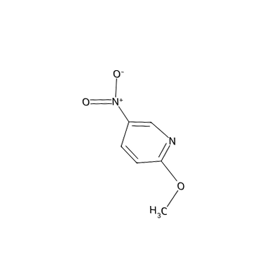 COc1ccc([N+](=O)[O-])cn1